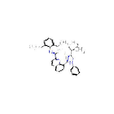 CCc1cccc(CC)c1/N=C(\C)c1ccc2cccc(C3=N[C@@H](C(C)CC)CN3c3ccccc3)c2n1